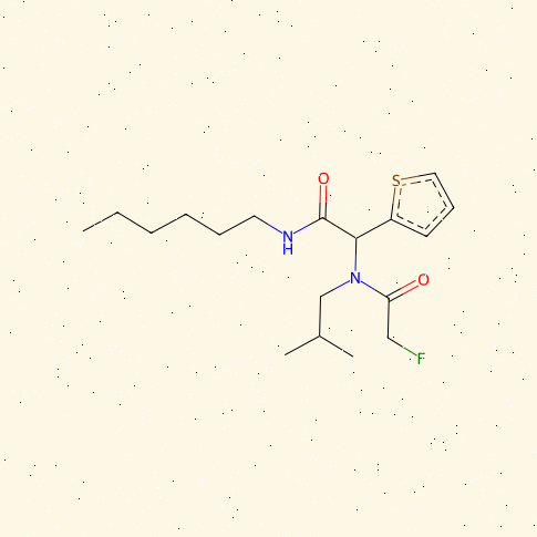 CCCCCCNC(=O)C(c1cccs1)N(CC(C)C)C(=O)CF